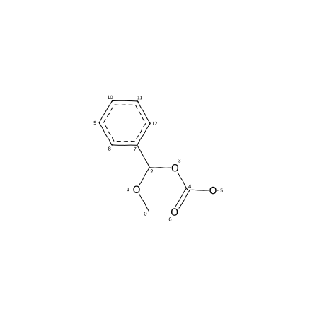 COC(OC([O])=O)c1ccccc1